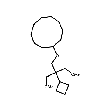 COCC(COC)(COC1CCCCCCCCC1)C1CCC1